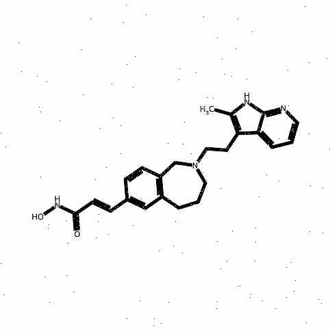 Cc1[nH]c2ncccc2c1CCN1CCCc2cc(C=CC(=O)NO)ccc2C1